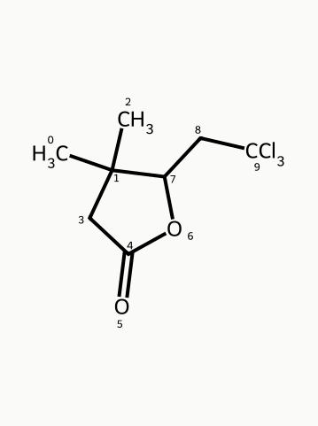 CC1(C)CC(=O)OC1CC(Cl)(Cl)Cl